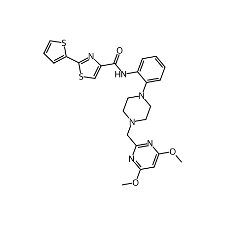 COc1cc(OC)nc(CN2CCN(c3ccccc3NC(=O)c3csc(-c4cccs4)n3)CC2)n1